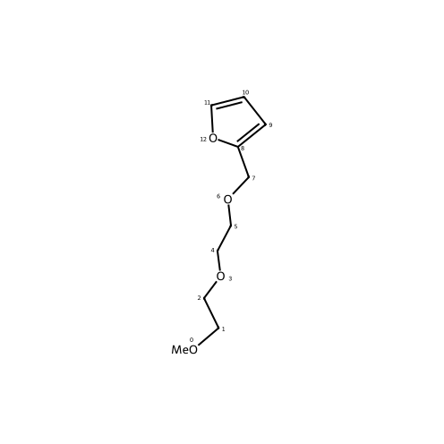 COCCOCCOCc1ccco1